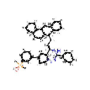 CP(C)(=O)c1cccc(-c2cccc(/C(=C/Cc3c4ccccc4cc4c3ccc3ccccc34)NC(N)c3ccccc3)c2)c1